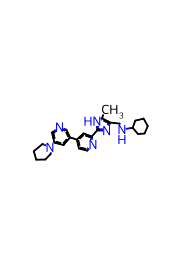 Cc1[nH]c(-c2cc(-c3cncc(N4CCCCC4)c3)ccn2)nc1CNC1CCCCC1